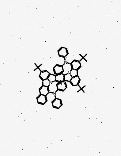 CC(C)(C)c1cc(N(c2ccccc2)c2ccccc2)c2c(c1)c1cc(C(C)(C)C)cc3c4nc5c(cc4n2c13)c1cc(C(C)(C)C)cc2c3cc4ccccc4c(N(c4ccccc4)c4ccccc4)c3n5c12